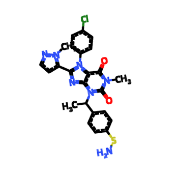 CC(c1ccc(SN)cc1)n1c(=O)n(C)c(=O)c2c1nc(-c1ccnn1C)n2-c1ccc(Cl)cc1